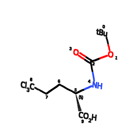 CC(C)(C)OC(=O)N[C@@H](CCC(Cl)(Cl)Cl)C(=O)O